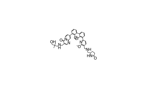 COc1nc(-c2cccc(-c3cccc(-c4ccn5c(=O)c(CNCC(C)(C)CO)cnc5c4)c3Cl)c2Cl)ccc1CNCC1CCC(=O)N1